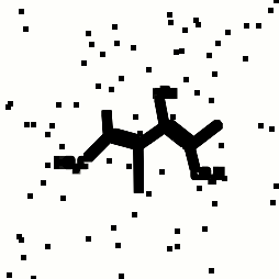 CCCCC(C(C)=C(C)C(=O)O)=C(C)C(=O)O